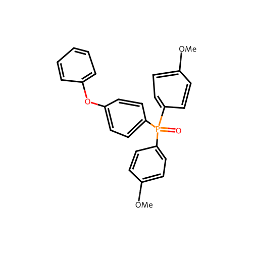 COc1ccc(P(=O)(c2ccc(OC)cc2)c2ccc(Oc3ccccc3)cc2)cc1